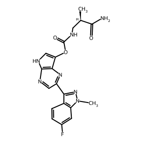 C[C@H](CNC(=O)Oc1c[nH]c2ncc(-c3nn(C)c4cc(F)ccc34)nc12)C(N)=O